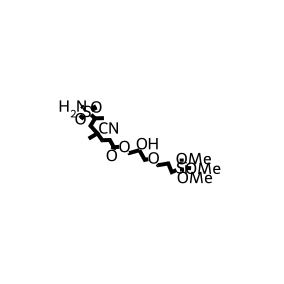 CO[Si](CCCOCC(O)COC(=O)CCC(C)(C#N)CC(C)S(N)(=O)=O)(OC)OC